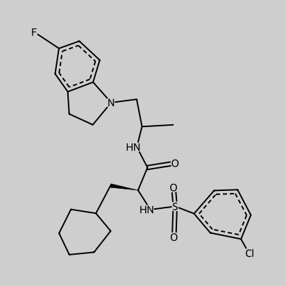 CC(CN1CCc2cc(F)ccc21)NC(=O)[C@H](CC1CCCCC1)NS(=O)(=O)c1cccc(Cl)c1